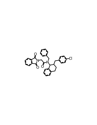 O=C1c2ccccc2C(=O)N1CC(=O)N(Cc1ccccc1)C1c2ccccc2CCC1Cc1ccc(Cl)cc1